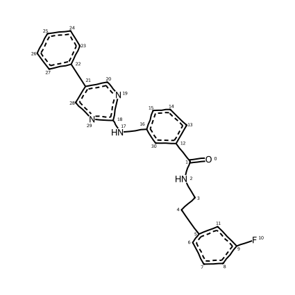 O=C(NCCc1cccc(F)c1)c1cccc(Nc2ncc(-c3ccccc3)cn2)c1